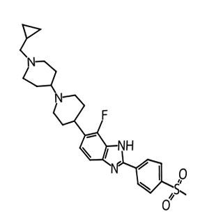 CS(=O)(=O)c1ccc(-c2nc3ccc(C4CCN(C5CCN(CC6CC6)CC5)CC4)c(F)c3[nH]2)cc1